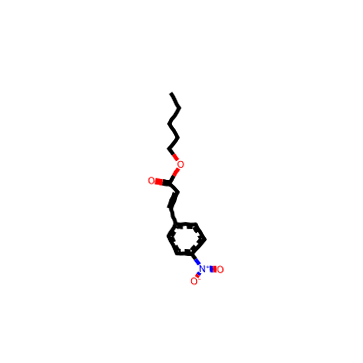 CCCCCOC(=O)C=Cc1ccc([N+](=O)[O-])cc1